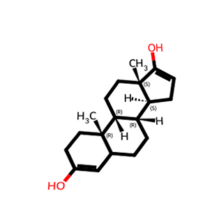 C[C@]12CCC(O)=CC1CC[C@@H]1[C@H]2CC[C@]2(C)C(O)=CC[C@@H]12